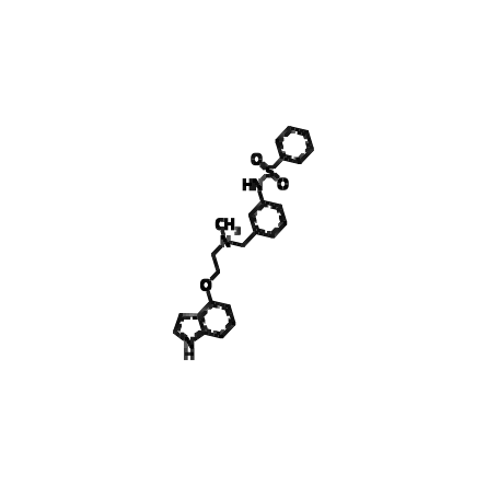 CN(CCOc1cccc2[nH]ccc12)Cc1cccc(NS(=O)(=O)c2ccccc2)c1